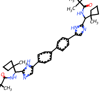 CC(C)(C)C(=O)NC(c1ncc(-c2ccc(-c3ccc(-c4cnc([C@@H](NC(=O)C(C)(C)C)C5(C)CCC5)[nH]4)cc3)cc2)[nH]1)C1(C)CCC1